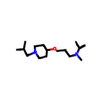 CC(C)CN1CCC(OCCCN(C)C(C)C)CC1